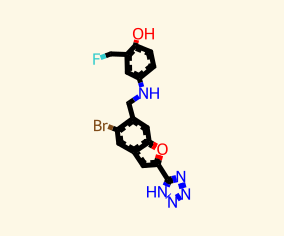 Oc1ccc(NCc2cc3oc(-c4nnn[nH]4)cc3cc2Br)cc1CF